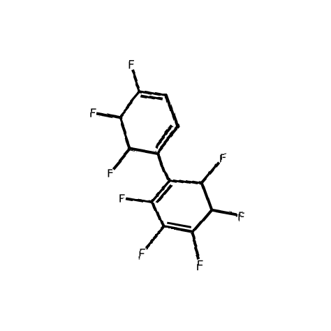 FC1=CC=C(C2=C(F)C(F)=C(F)C(F)C2F)C(F)C1F